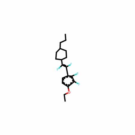 CCCC1CCC(/C(F)=C(\F)c2ccc(OCC)c(F)c2F)CC1